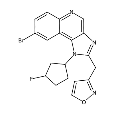 FC1CCC(n2c(Cc3ccon3)nc3cnc4ccc(Br)cc4c32)C1